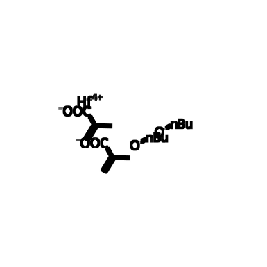 C=C(C)C(=O)[O-].C=C(C)C(=O)[O-].CCCC[O-].CCCC[O-].[Hf+4]